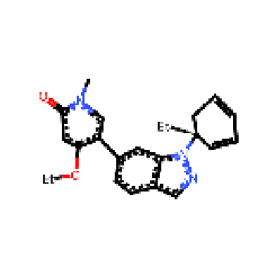 CCOc1cc(=O)n(C)cc1-c1ccc2cnn([C@@]3(CC)C=CC=CC3)c2c1